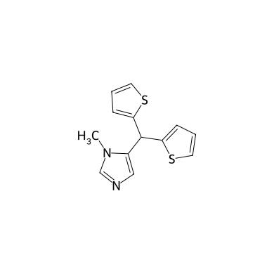 Cn1cncc1C(c1cccs1)c1cccs1